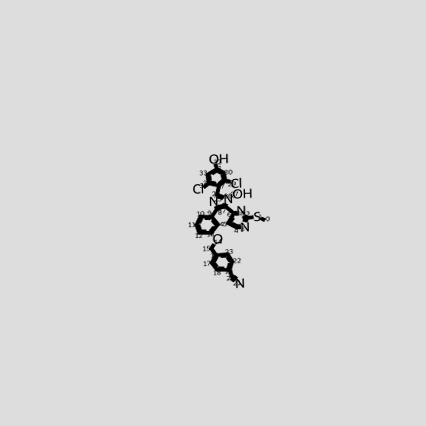 CSc1nccc(-c2c(-c3cccc(OCc4ccc(C#N)cc4)c3)nc(-c3c(Cl)cc(O)cc3Cl)n2O)n1